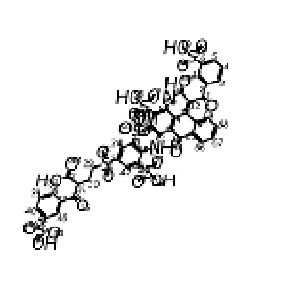 O=C(c1cccc(S(=O)(=O)O)c1)c1c2c3c(c(Nc4c(S(=O)(=O)O)cc(S(=O)(=O)CCC(C(=O)O)C(=O)c5cccc(S(=O)(=O)O)c5)cc4S(=O)(=O)O)cc(S(=O)(=O)O)c3[nH]c1=O)C(=O)c1ccccc1-2